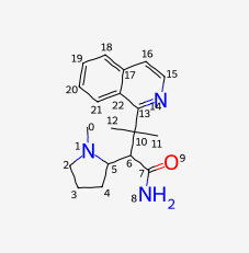 CN1CCCC1C(C(N)=O)C(C)(C)c1nccc2ccccc12